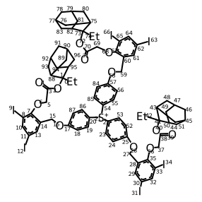 CCC1(OC(=O)COc2c(I)cc(I)cc2COc2ccc([S+](c3ccc(OCc4cc(I)cc(I)c4OCC(=O)OC4(CC)C5CC6CC(C5)CC4C6)cc3)c3ccc(OCc4cc(I)cc(I)c4OCC(=O)OC4(CC)C5CC6CC(C5)CC4C6)cc3)cc2)C2CC3CC(C2)CC1C3